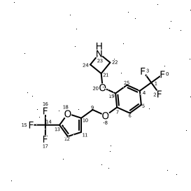 FC(F)(F)c1ccc(OCc2ccc(C(F)(F)F)o2)c(OC2CNC2)c1